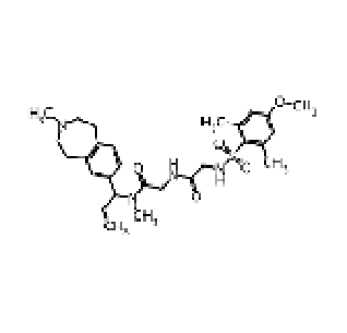 CCC(c1ccc2c(c1)CCN(C)CC2)N(C)C(=O)CNC(=O)CNS(=O)(=O)c1c(C)cc(OC)cc1C